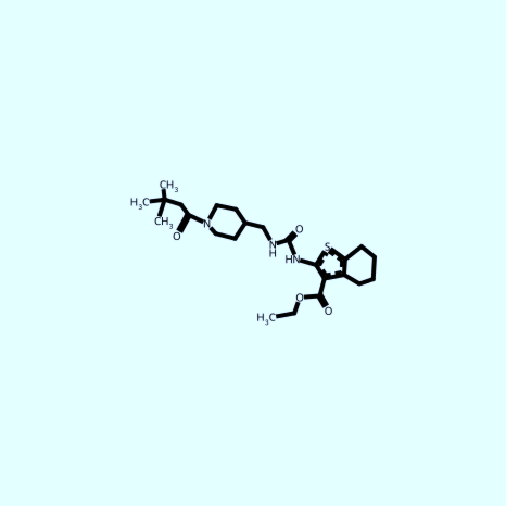 CCOC(=O)c1c(NC(=O)NCC2CCN(C(=O)CC(C)(C)C)CC2)sc2c1CCCC2